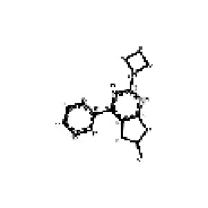 CC1Cc2nc(N3CCC3)nc(-c3ccccc3)c2C1